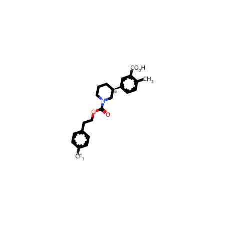 Cc1ccc([C@@H]2CCCN(C(=O)OCCc3ccc(C(F)(F)F)cc3)C2)cc1C(=O)O